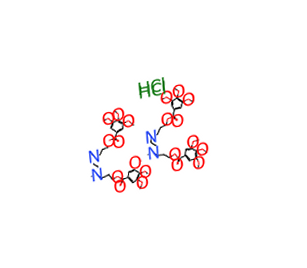 COc1cc(C(=O)OCCCN(C)CCN(C)CCCOC(=O)c2cc(OC)c(OC)c(OC)c2)cc(OC)c1OC.COc1cc(C(=O)OCCCN(C)CCN(C)CCCOC(=O)c2cc(OC)c(OC)c(OC)c2)cc(OC)c1OC.Cl.Cl